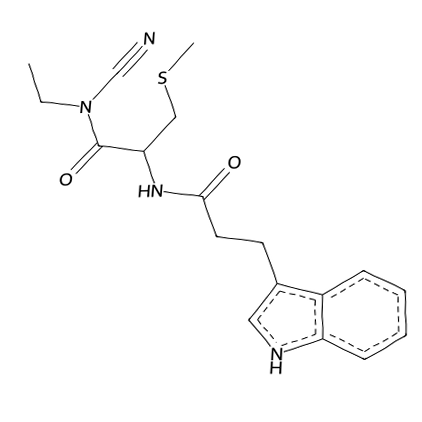 CCN(C#N)C(=O)C(CSC)NC(=O)CCc1c[nH]c2ccccc12